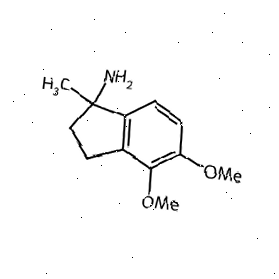 COc1ccc2c(c1OC)CCC2(C)N